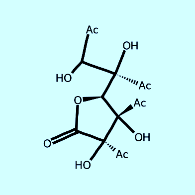 CC(=O)C(O)[C@](O)(C(C)=O)[C@@H]1OC(=O)[C@@](O)(C(C)=O)[C@]1(O)C(C)=O